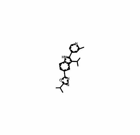 Cc1cc(-c2[nH]c3ccc(-c4nnc(C(C)C)o4)cc3c2C(C)C)ccn1